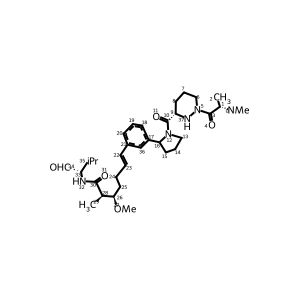 CN[C@@H](C)C(=O)N1CCC[C@@H](C(=O)N2CCCC2c2cccc(/C=C/CC[C@@H](OC)[C@@H](C)C(=O)N[C@H](C=O)C(C)C)c2)N1